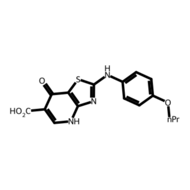 CCCOc1ccc(Nc2nc3[nH]cc(C(=O)O)c(=O)c3s2)cc1